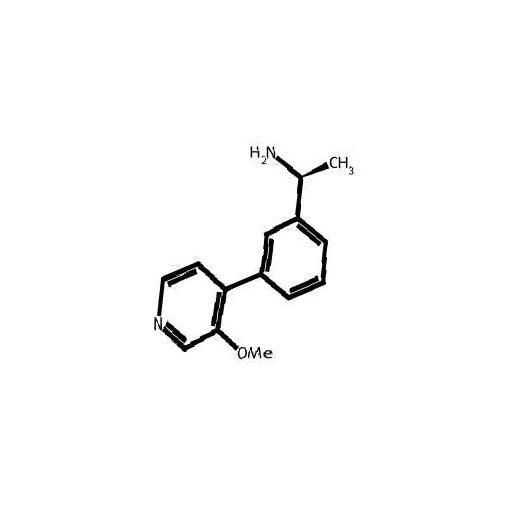 COc1cnccc1-c1cccc([C@H](C)N)c1